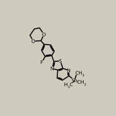 [CH3][Sn]([CH3])([CH3])[c]1ccc2nc(-c3ccc(C4OCCCO4)cc3F)sc2n1